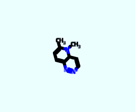 CC1=CC=C2[N+]#[N+]C=CC2N1C